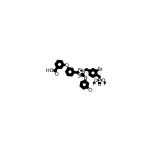 O=C(O)c1cccc(Oc2cccc(-c3nn(Cc4ccc(CP(=O)(OF)OF)c(Br)c4)c(=Nc4cccc(Cl)c4)s3)c2)c1